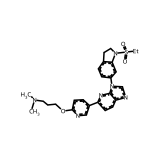 CCS(=O)(=O)N1CCc2ccc(-n3cnc4ccc(-c5ccc(OCCCN(C)C)nc5)nc43)cc21